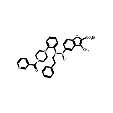 CCOC(=O)c1oc2ccc([S+]([O-])N(CCc3ccccc3)c3ccccc3N3CCN(C(=O)c4cccnc4)CC3)cc2c1C